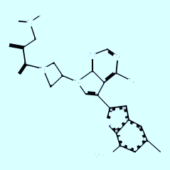 C=C(CN(CC)CC)C(=O)N1CC(N2C=C(c3cc4cc(C)cc(OC)c4s3)C3=C(N)N=CNC32)C1